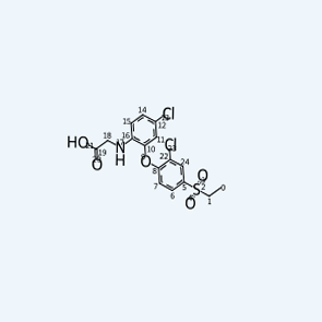 CCS(=O)(=O)c1ccc(Oc2cc(Cl)ccc2NCC(=O)O)c(Cl)c1